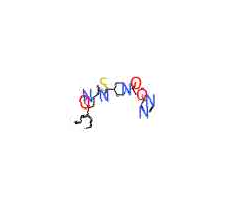 C=C/C=C(\C=C/C)C1CC(c2csc(C3CCN(C(=O)COc4cnccn4)CC3)n2)=NO1